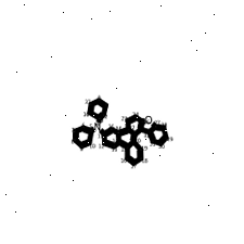 c1ccc(N(c2ccccc2)c2ccc3c4ccccc4c4c(ccc5oc6ccccc6c54)c3c2)cc1